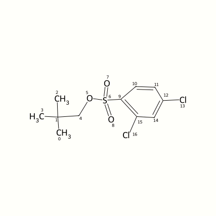 CC(C)(C)COS(=O)(=O)c1ccc(Cl)cc1Cl